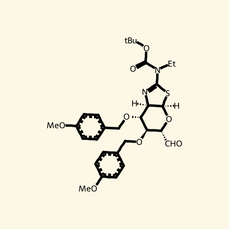 CCN(C(=O)OC(C)(C)C)C1=N[C@@H]2[C@@H](OCc3ccc(OC)cc3)[C@H](OCc3ccc(OC)cc3)[C@@H](C=O)O[C@@H]2S1